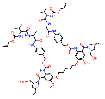 C=CCOC(=O)N[C@H](C(=O)N[C@@H](C)C(=O)Nc1ccc(COC(=O)Nc2cc(OCCCCCOc3cc(NC(=O)OCc4ccc(NC(=O)[C@H](C)NC(=O)[C@@H](NC(=O)OCC=C)C(C)C)cc4)c(C(=O)N4C/C(=C/C)C[C@H]4CO)cc3OC)c(OC)cc2C(=O)N2C/C(=C/C)C[C@H]2CO)cc1)C(C)C